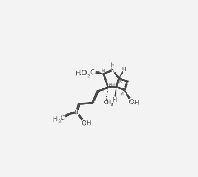 CB(O)CCC[C@]1(C)[C@H]2[C@H](O)C[C@H]2N[C@@H]1C(=O)O